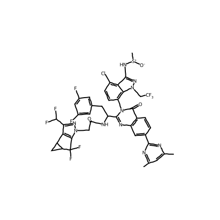 Cc1cc(C)nc(-c2ccc3c(=O)n(-c4ccc(Cl)c5c(N[S+](C)[O-])nn(CC(F)(F)F)c45)c(C(Cc4cc(F)cc(F)c4)NC(=O)Cn4nc(C(F)F)c5c4C(F)(F)C4CC54)nc3c2)n1